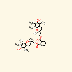 Cc1c(C)c2c(c(C)c1O)CCC(C)(CCOC(=O)C1CCCCC1C(=O)OCCC1(C)CCc3c(C)c(O)c(C)c(C)c3O1)O2